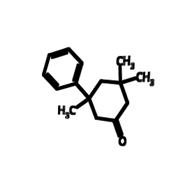 CC1(C)CC(=O)CC(C)(c2ccccc2)C1